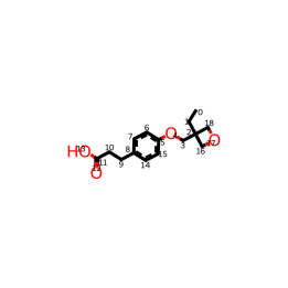 CCC1(COc2ccc(CCC(=O)O)cc2)COC1